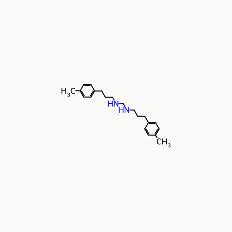 Cc1ccc(CCCNCNCCCc2ccc(C)cc2)cc1